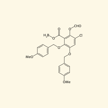 BOC(=O)c1c(OC=O)c(Cl)cc(OCc2ccc(OC)cc2)c1OCc1ccc(OC)cc1